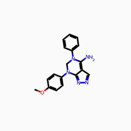 COc1ccc(N2CN(c3ccccc3)C(N)=C3C=NN=C32)cc1